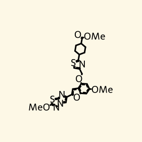 COC(=O)C1CCC(c2nc(COc3cc(OC)cc4oc(-c5cn6nc(OC)sc6n5)cc34)cs2)CC1